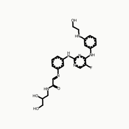 O=C(C=Nc1cccc(Nc2ncc(F)c(Nc3cccc(NCCO)c3)n2)c1)NCC(O)CO